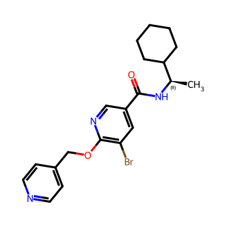 C[C@@H](NC(=O)c1cnc(OCc2ccncc2)c(Br)c1)C1CCCCC1